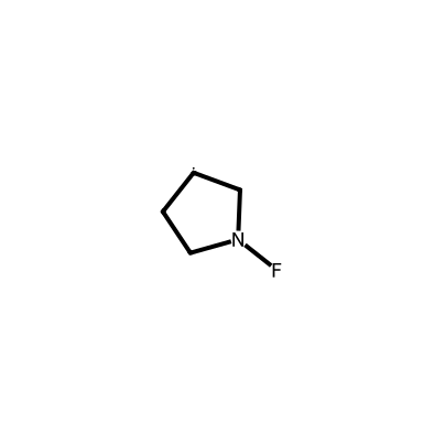 FN1C[CH]CC1